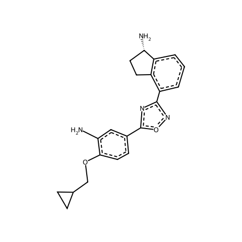 Nc1cc(-c2nc(-c3cccc4c3CC[C@@H]4N)no2)ccc1OCC1CC1